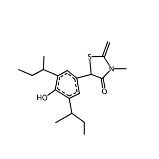 C=C1SC(c2cc(C(C)CC)c(O)c(C(C)CC)c2)C(=O)N1C